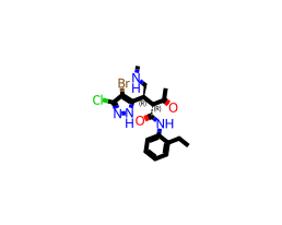 CCc1ccccc1NC(=O)[C@@H](C(C)=O)[C@H](CNC)c1[nH]nc(Cl)c1Br